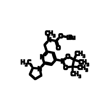 C[C@@H]1CCCN1c1cc(B2OC(C)(C)C(C)(C)O2)cc(CN(C)C(=O)OC(C)(C)C)n1